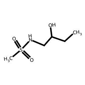 CCC(O)CNS(C)(=O)=O